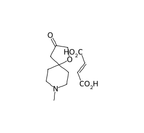 CN1CCC2(CC1)CC(=O)CO2.O=C(O)C=CC(=O)O